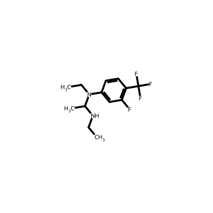 CCNC(C)N(CC)c1ccc(C(F)(F)F)c(F)c1